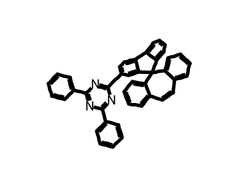 C1=Cc2ccccc2C2(c3ccccc31)c1ccccc1-c1ccc(-c3nc(-c4ccccc4)nc(-c4ccccc4)n3)cc12